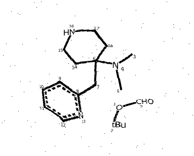 CC(C)(C)OC=O.CN(C)C1(Cc2ccccn2)CCNCC1